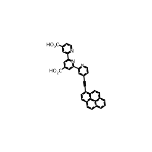 O=C(O)c1ccnc(-c2cc(C(=O)O)cc(-c3cc(C#Cc4ccc5ccc6cccc7ccc4c5c67)ccn3)n2)c1